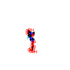 COc1c(N2CCN(C(=O)OCOC(=O)CCC(O)P(=O)(O)O)C(C)C2)c(F)cc2c(=O)c(C(=O)O)cn(C3CC3)c12